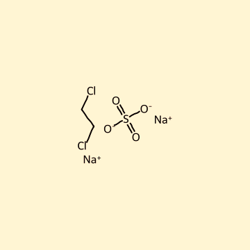 ClCCCl.O=S(=O)([O-])[O-].[Na+].[Na+]